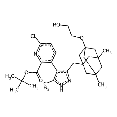 Cc1[nH]nc(CC23CC4(C)CC(C)(C2)CC(OCCO)(C4)C3)c1-c1ccc(Cl)nc1C(=O)OC(C)(C)C